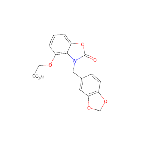 O=C(O)COc1cccc2oc(=O)n(Cc3ccc4c(c3)OCO4)c12